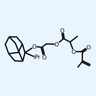 C=C(C)C(=O)OC(C)C(=O)OCC(=O)OC1(C(C)C)C2CC3CC(C2)CC1C3